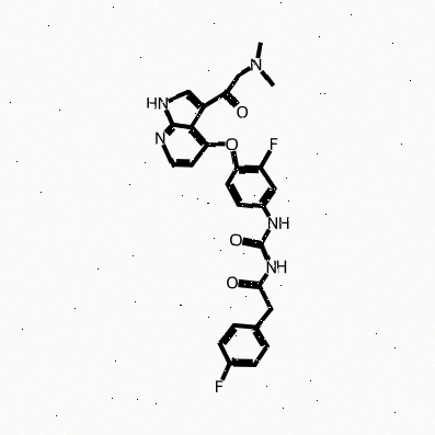 CN(C)CC(=O)c1c[nH]c2nccc(Oc3ccc(NC(=O)NC(=O)Cc4ccc(F)cc4)cc3F)c12